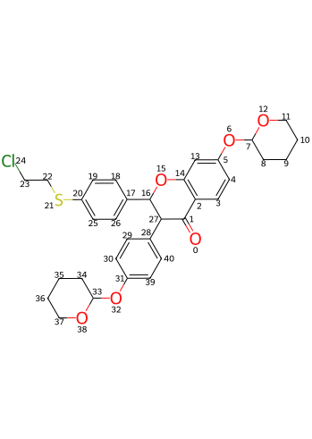 O=C1c2ccc(OC3CCCCO3)cc2OC(c2ccc(SCCCl)cc2)C1c1ccc(OC2CCCCO2)cc1